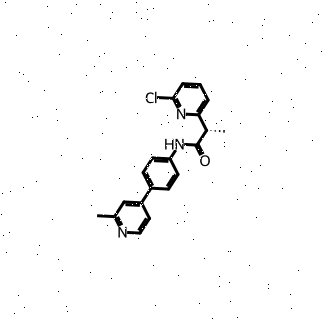 Cc1cc(-c2ccc(NC(=O)[C@@H](C)c3cccc(Cl)n3)cc2)ccn1